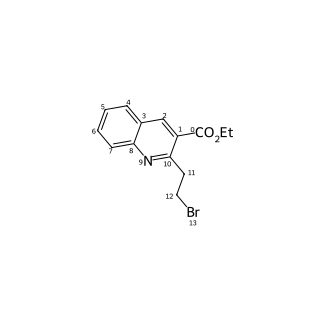 CCOC(=O)c1cc2ccccc2nc1CCBr